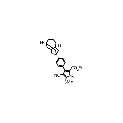 CCOC(=O)c1c(-c2ccc([C@@]34CC5C[C@H](CCC[C@H]5C3)C4)cc2)c(C#N)c(SC)n1C